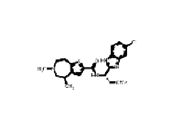 COC[C@H](NC(=O)c1cc2c(s1)CCN(C)CC2C)c1nc2cc(Cl)ccc2[nH]1